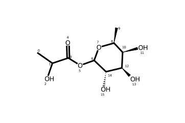 CC(O)C(=O)OC1O[C@@H](C)[C@@H](O)[C@@H](O)[C@@H]1O